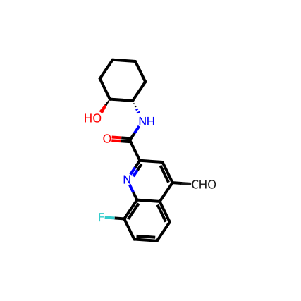 O=Cc1cc(C(=O)N[C@H]2CCCC[C@@H]2O)nc2c(F)cccc12